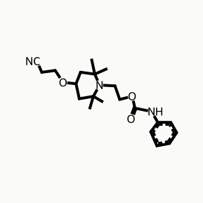 CC1(C)CC(OCCC#N)CC(C)(C)N1CCOC(=O)Nc1ccccc1